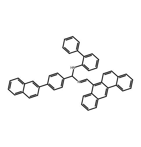 C(=N\C(Nc1ccccc1-c1ccccc1)c1ccc(-c2ccc3ccccc3c2)cc1)/c1c2ccccc2cc2c1ccc1ccccc12